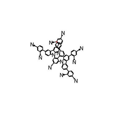 N#Cc1ccc(-c2ccc3c(c2)c2cc(-c4ccc(C#N)cc4C#N)ccc2n3-c2cc(C#N)cc(-n3c4ccc(-c5ccc(C#N)cc5C#N)cc4c4cc(-c5ccc(C#N)cc5C#N)ccc43)c2-c2cccc(-c3ccccc3)n2)c(C#N)c1